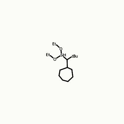 CCO[SiH](OCC)C(C1CCCCCC1)C(C)(C)C